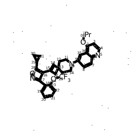 CC(C)Oc1ccnc2ccc(N3CCC4(C=C(c5c(-c6ccccc6OC(F)(F)F)noc5C5CC5)C4)CC3)cc12